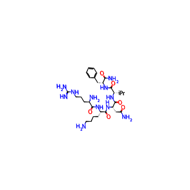 CC(C)[C@H](NC(=O)[C@H](CC(N)=O)NC(=O)[C@H](CCCCN)NC(=O)[C@H](N)CCCNC(=N)N)C(=O)N[C@H](Cc1ccccc1)C(N)=O